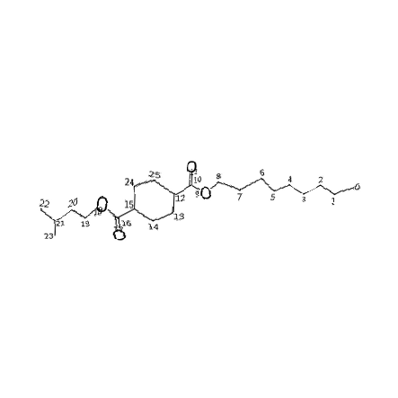 CCCCCCCCCOC(=O)C1CCC(C(=O)OCCC(C)C)CC1